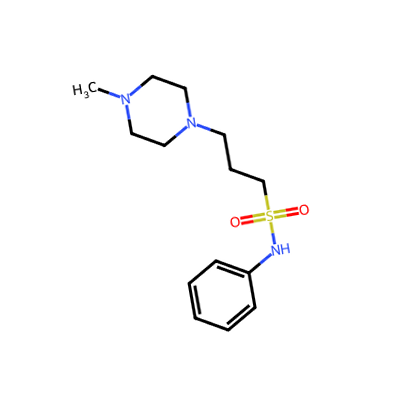 CN1CCN(CCCS(=O)(=O)Nc2ccccc2)CC1